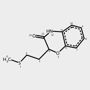 CSCCC1Oc2ccccc2NC1=O